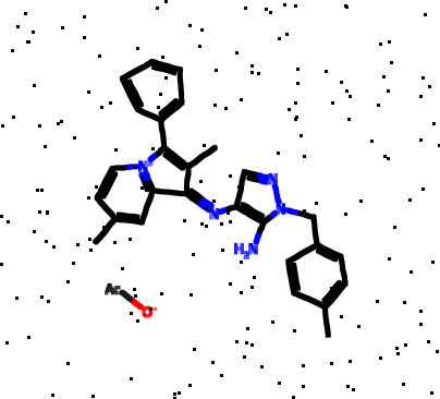 CC(=O)[O-].CC1=C(c2ccccc2)[n+]2ccc(C)cc2/C1=N/c1cnn(Cc2ccc(C)cc2)c1N